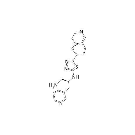 NC[C@H](Cc1cccnc1)Nc1nnc(-c2ccc3cnccc3c2)s1